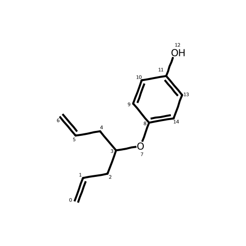 C=CCC(CC=C)Oc1ccc(O)cc1